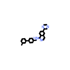 Cc1cccc(-c2ccc(CNc3nccc4cc(-c5cnccn5)ccc34)cc2)c1